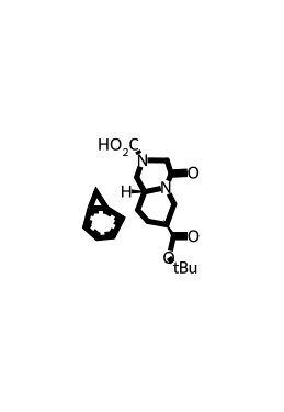 CC(C)(C)OC(=O)[C@H]1CC[C@@H]2CN(C(=O)O)CC(=O)N2C1.c1ccc2c(c1)C2